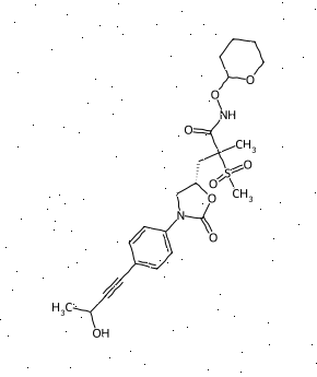 CC(O)C#Cc1ccc(N2C[C@H](CC(C)(C(=O)NOC3CCCCO3)S(C)(=O)=O)OC2=O)cc1